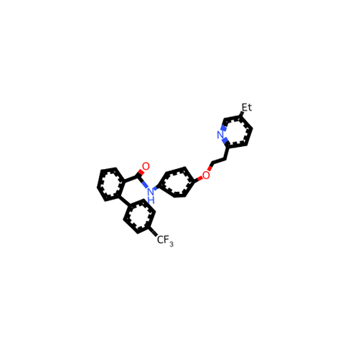 CCc1ccc(CCOc2ccc(NC(=O)c3ccccc3-c3ccc(C(F)(F)F)cc3)cc2)nc1